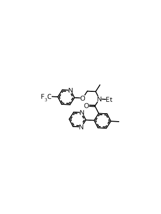 CCN(C(=O)c1cc(C)ccc1-c1ncccn1)C(C)COc1ccc(C(F)(F)F)cn1